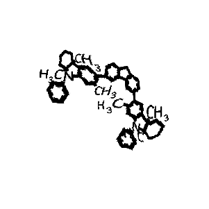 Cc1cc2c(cc1-c1ccc3c(c1)-c1cc(-c4cc5c(cc4C)N(c4ccccc4)C4(C)CCCCC54C)ccc1C3)C1(C)CCCCC1(C)N2c1ccccc1